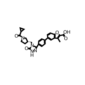 Cc1c(C(=O)O)oc2ccc(-c3ccc(-c4n[nH]c(=O)n4C[C@@H]4CCN(C(=O)C5CC5)C4)cc3)cc12